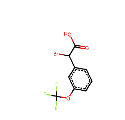 O=C(O)C(Br)c1cccc(OC(F)(F)F)c1